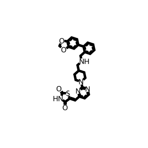 O=C1NC(=O)C(=Cc2ccnc(N3CCC(CNCc4ccccc4-c4ccc5c(c4)OCO5)CC3)n2)S1